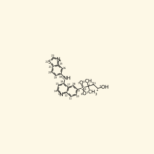 CC(C)(CCO)S(=O)(=O)c1ccc2nccc(Nc3ccc4scnc4c3)c2c1